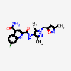 Cc1cc(Cn2nc(C)c(NC(=O)c3cc(C(N)=O)c4ccc(F)cc4n3)c2C)on1